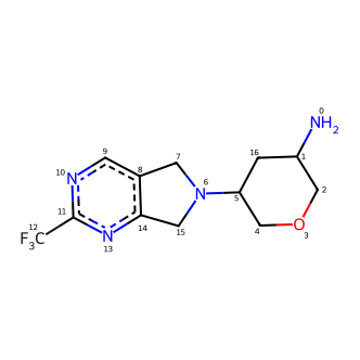 NC1COCC(N2Cc3cnc(C(F)(F)F)nc3C2)C1